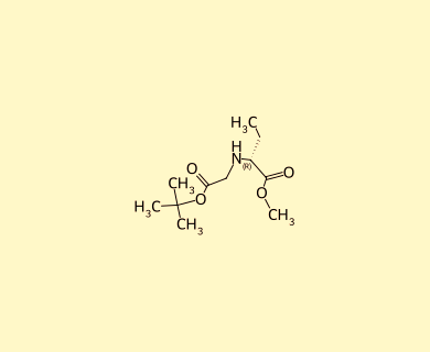 CC[C@@H](NCC(=O)OC(C)(C)C)C(=O)OC